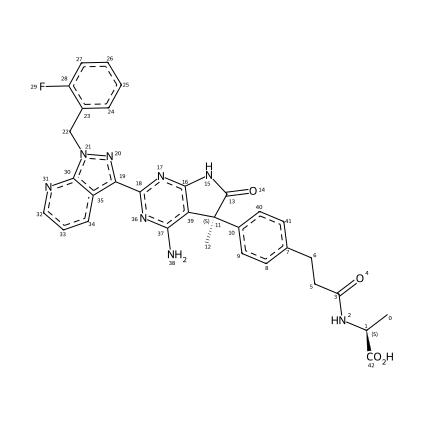 C[C@H](NC(=O)CCc1ccc([C@]2(C)C(=O)Nc3nc(-c4nn(Cc5ccccc5F)c5ncccc45)nc(N)c32)cc1)C(=O)O